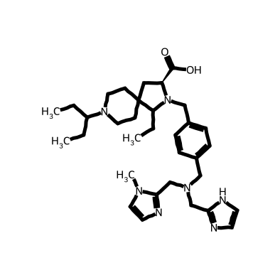 CCC(CC)N1CCC2(CC1)C[C@@H](C(=O)O)N(Cc1ccc(CN(Cc3ncc[nH]3)Cc3nccn3C)cc1)C2CC